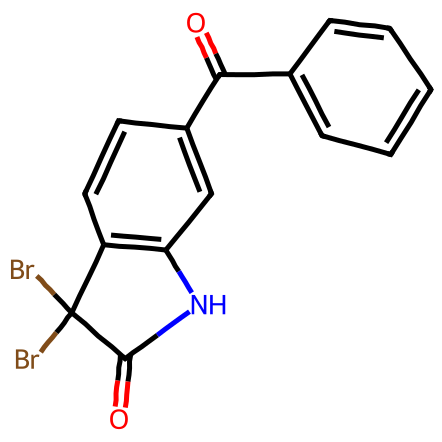 O=C(c1ccccc1)c1ccc2c(c1)NC(=O)C2(Br)Br